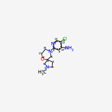 CN1CCC2(C1)CN(c1cc(N)c(Cl)cn1)CCO2